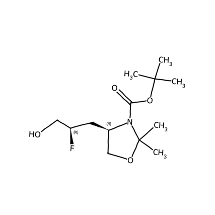 CC(C)(C)OC(=O)N1[C@H](C[C@@H](F)CO)COC1(C)C